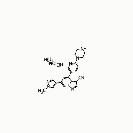 Cl.Cl.Cl.Cl.Cn1cc(-c2cc(-c3ccc(N4CCNCC4)nc3)c3c(C#N)cnn3c2)cn1